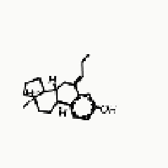 CC/C=C1\C[C@@H]2[C@H](CC[C@]3(C)CCC[C@@H]23)c2ccc(O)cc21